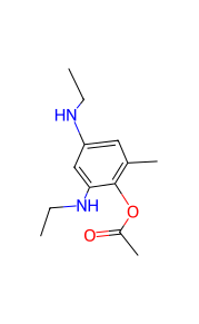 CCNc1cc(C)c(OC(C)=O)c(NCC)c1